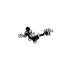 CC(C)(C)OC(=O)NCCCCOc1ccn2c(=O)cc(C(=O)NCC(NS(=O)(=O)c3ccccc3)C(=O)OC(C)(C)C)cc2c1